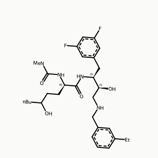 CCCCC(O)CC[C@@H](NC(=O)NC)C(=O)N[C@@H](Cc1cc(F)cc(F)c1)[C@@H](O)CNCc1cccc(CC)c1